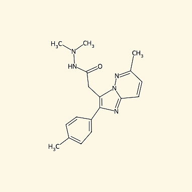 Cc1ccc(-c2nc3ccc(C)nn3c2CC(=O)NN(C)C)cc1